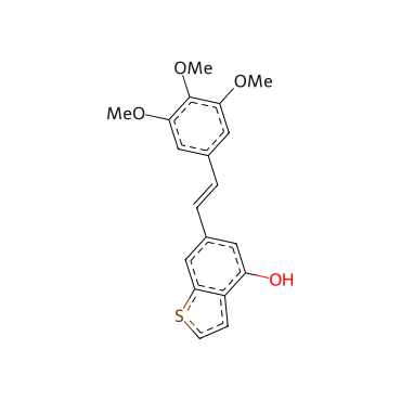 COc1cc(C=Cc2cc(O)c3ccsc3c2)cc(OC)c1OC